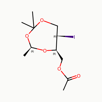 CC(=O)OC[C@H]1O[C@@H](C)OC(C)(C)OC[C@H]1I